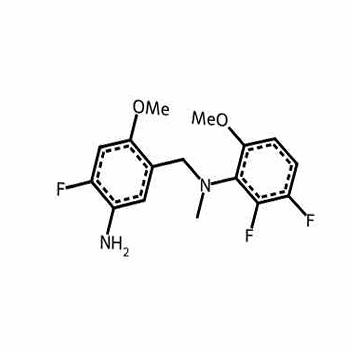 COc1cc(F)c(N)cc1CN(C)c1c(OC)ccc(F)c1F